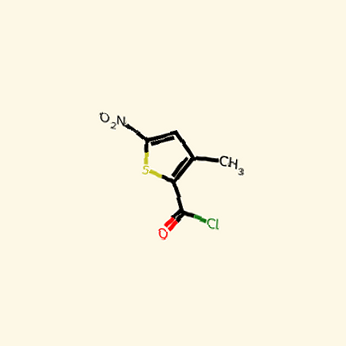 Cc1cc([N+](=O)[O-])sc1C(=O)Cl